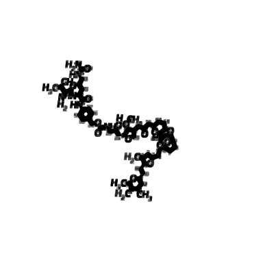 C=C1CC(CC[C@]23CCC(O2)C2CC(O3)[C@H]3OC(CC(=O)CC4CO[C@H](CC(O)CNC(=O)OCc5ccc(NC(=O)C(CCCNC(N)=O)NC(=O)[C@@H](N)C(C)C)cc5)[C@@H]4OC)CCC3O2)O[C@H]1CC[C@H]1C[C@@H](C)C(=C)[C@@H](C)O1